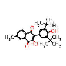 Cc1ccc2c(c1)C(=O)C(O)=C(c1cc(C(C)(C)C)c(O)c(C(C)(C)C)c1)C2=O